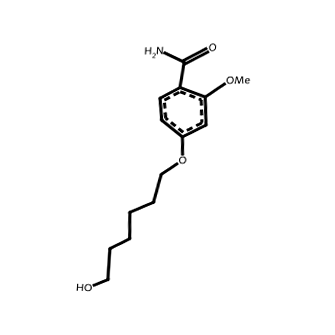 COc1cc(OCCCCCCO)ccc1C(N)=O